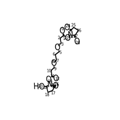 O=C(CCOCCCOCCC(=O)ON1C(=O)CCC1O)ON1C(=O)CCC1=O